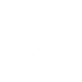 c1ccc2c(c1)CN1CCCC[C@@H]1CN2